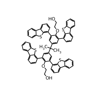 CC(C)(c1cc(-c2cccc3c2sc2ccccc23)c(OCCO)c(-c2cccc3c2sc2ccccc23)c1)c1cc(-c2cccc3c2sc2ccccc23)c(OCCO)c(-c2cccc3c2sc2ccccc23)c1